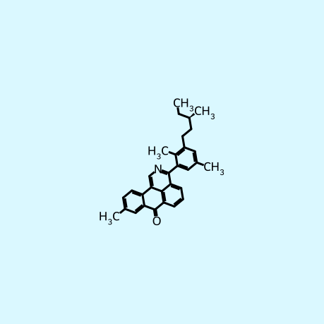 CC[C@@H](C)CCc1cc(C)cc(-c2ncc3c4c(cccc24)C(=O)c2cc(C)ccc2-3)c1C